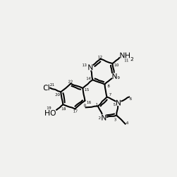 Cc1nc(C)n(C)c1-c1nc(N)cnc1-c1ccc(O)c(Cl)c1